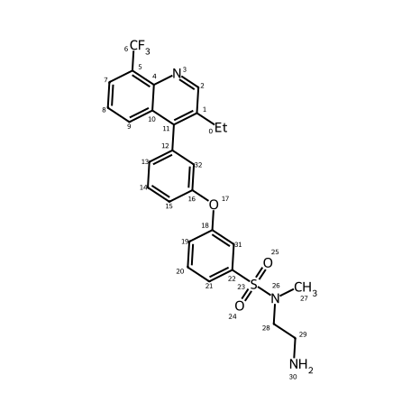 CCc1cnc2c(C(F)(F)F)cccc2c1-c1cccc(Oc2cccc(S(=O)(=O)N(C)CCN)c2)c1